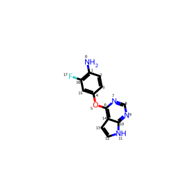 Nc1ccc(Oc2ncnc3[nH]ccc23)cc1F